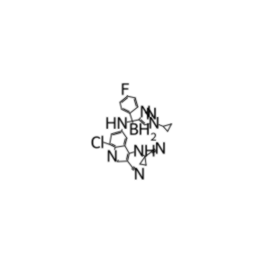 BC(Nc1cc(Cl)c2ncc(C#N)c(NC3(C#N)CC3)c2c1)(c1ccc(F)cc1)c1cn(C2CC2)nn1